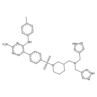 Cc1ccc(Nc2nc(N)ncc2-c2ccc(S(=O)(=O)N3CCCC(CN(Cc4cn[nH]c4)Cc4cn[nH]c4)C3)cc2)cc1